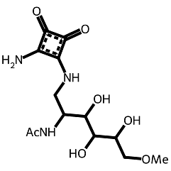 COCC(O)C(O)C(O)C(CNc1c(N)c(=O)c1=O)NC(C)=O